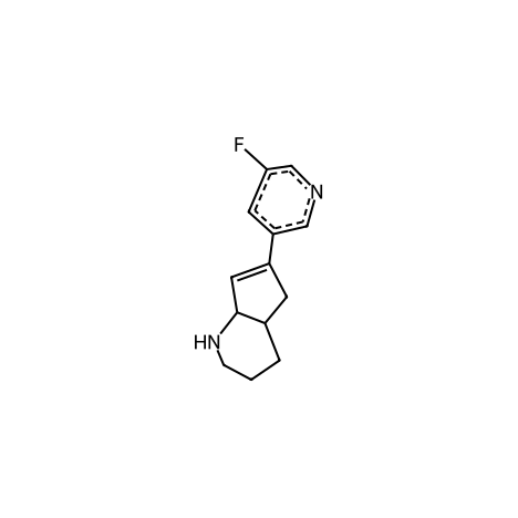 Fc1cncc(C2=CC3NCCCC3C2)c1